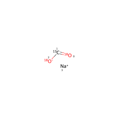 [18O]=[13CH][18O-].[Na+]